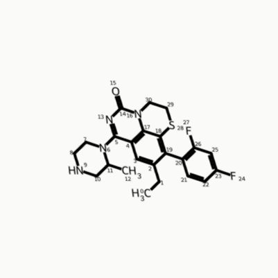 CCc1cc2c(N3CCNCC3C)nc(=O)n3c2c(c1-c1ccc(F)cc1F)SCC3